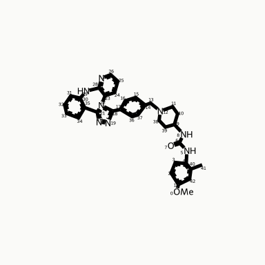 COc1ccc(NC(=O)NC2CCN(Cc3ccc(-c4nnc5n4-c4cccnc4Nc4ccccc4-5)cc3)CC2)c(C)c1